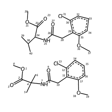 COC(=O)C(C)(C)NC(=O)Cc1c(Cl)cccc1OC.COC(=O)C(NC(=O)Cc1c(Cl)cccc1OC)C(C)C